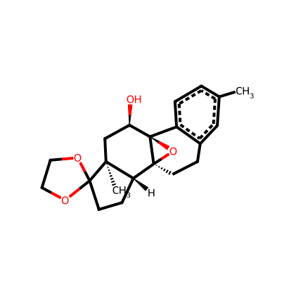 Cc1ccc2c(c1)CC[C@@]13O[C@@]21[C@H](O)C[C@@]1(C)[C@H]3CCC12OCCO2